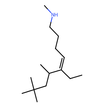 CCC(=CCCCNC)C(C)CC(C)(C)C